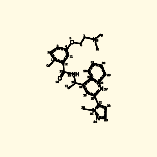 Cc1ccc(OCCN(C)C)cc1C(=O)N[C@H](C)c1cc(-c2ccnn2C)nc2ccccc12